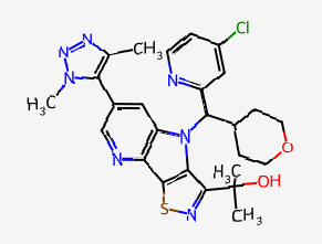 Cc1nnn(C)c1-c1cnc2c3snc(C(C)(C)O)c3n(C(c3cc(Cl)ccn3)C3CCOCC3)c2c1